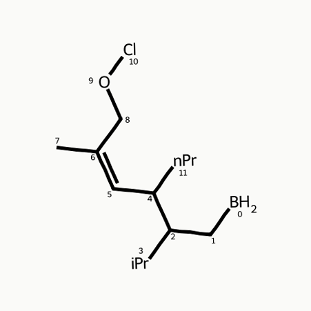 BCC(C(C)C)C(C=C(C)COCl)CCC